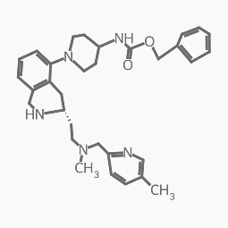 Cc1ccc(CN(C)CC[C@H]2Cc3c(cccc3N3CCC(NC(=O)OCc4ccccc4)CC3)CN2)nc1